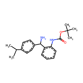 CC(C)c1ccc(C(N)c2ccccc2NC(=O)OC(C)(C)C)cc1